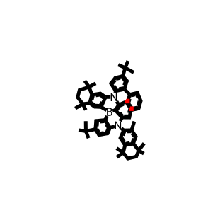 Cc1cc2c3c(c1)N(c1ccc(C(C)(C)C)cc1-c1ccccc1)c1cc4c(cc1B3c1cc(C(C)(C)C)ccc1N2c1cc2c(cc1C)C(C)(C)CCC2(C)C)C(C)(C)CCC4(C)C